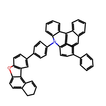 C1=Cc2c(ccc3oc4ccc(-c5ccc(N(c6ccc(-c7ccccc7)cc6)c6ccccc6-c6cccc7ccccc67)cc5)cc4c23)CC1